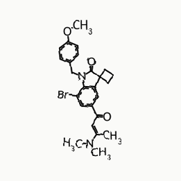 COc1ccc(CN2C(=O)C3(CCC3)c3cc(C(=O)/C=C(\C)N(C)C)cc(Br)c32)cc1